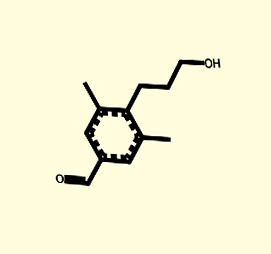 Cc1cc(C=O)cc(C)c1CCCO